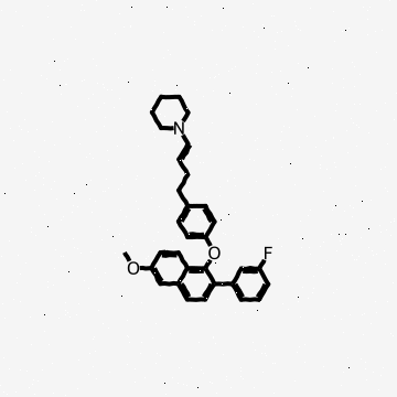 COc1ccc2c(Oc3ccc(CCC=CN4CCCCC4)cc3)c(-c3cccc(F)c3)ccc2c1